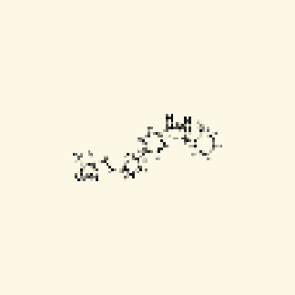 COC(=O)C(C)(C)CCc1ncc(-c2ccc(NC(=N)Nc3ccccc3F)cc2)s1